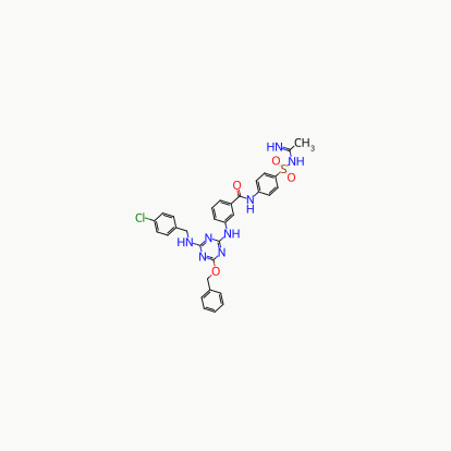 CC(=N)NS(=O)(=O)c1ccc(NC(=O)c2cccc(Nc3nc(NCc4ccc(Cl)cc4)nc(OCc4ccccc4)n3)c2)cc1